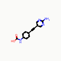 Nc1ncc(C#Cc2ccc(NC(=O)O)cc2)cn1